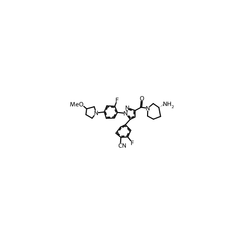 COC1CCN(c2ccc(-n3nc(C(=O)N4CCC[C@@H](N)C4)cc3-c3ccc(C#N)c(F)c3)c(F)c2)C1